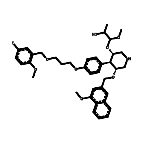 COc1ccc(F)cc1COCCCOc1ccc([C@@H]2[C@@H](OCc3cc(OC)c4ccccc4c3)CNC[C@H]2OC(OC)C(C)O)cc1